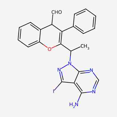 CC(C1=C(c2ccccc2)C(C=O)c2ccccc2O1)n1nc(I)c2c(N)ncnc21